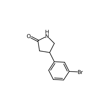 O=C1CC(c2cccc(Br)c2)CN1